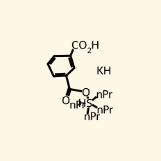 CCC[SH](CCC)(CCC)(CCC)OC(=O)c1cccc(C(=O)O)c1.[KH]